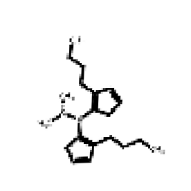 CCCCC1=[C]([Ti]([C]2=C(CCCC)C=CC2)[SiH](C)C)CC=C1